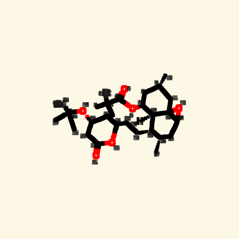 CCC(C)(C)C(=O)O[C@H]1C[C@H](C)CC23OC2C[C@H](C)[C@H](CC[C@@H]2C[C@@H](O[Si](C)(C)C(C)(C)C)CC(=O)O2)[C@@H]13